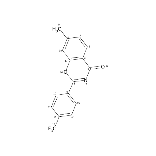 Cc1ccc2c(=O)nc(-c3ccc(C(F)(F)F)cc3)oc2c1